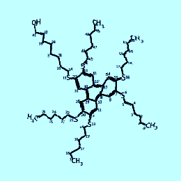 CCCCCCSc1cc2c3cc(SCCCCCC)c(SCCCCCC)cc3c3cc(SCCCCCCCCO)c(SCCCCCC)cc3c2cc1SCCCCCC